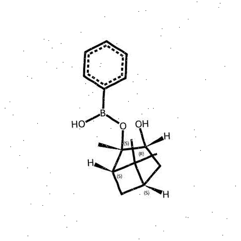 CC1(C)[C@@H]2C[C@@H](O)[C@@](C)(OB(O)c3ccccc3)[C@H]1C2